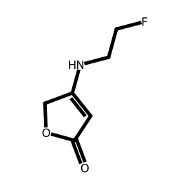 O=C1C=C(NCCF)CO1